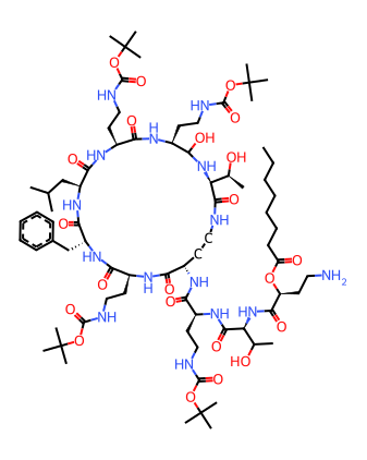 CCCCCCCC(=O)O[C@@H](CCN)C(=O)N[C@H](C(=O)N[C@@H](CCNC(=O)OC(C)(C)C)C(=O)N[C@H]1CCNC(=O)[C@H]([C@H](C)O)NC(O)[C@H](CCNC(=O)OC(C)(C)C)NC(=O)[C@H](CCNC(=O)OC(C)(C)C)NC(=O)[C@H](CC(C)C)NC(=O)[C@@H](Cc2ccccc2)NC(=O)[C@H](CCNC(=O)OC(C)(C)C)NC1=O)C(C)O